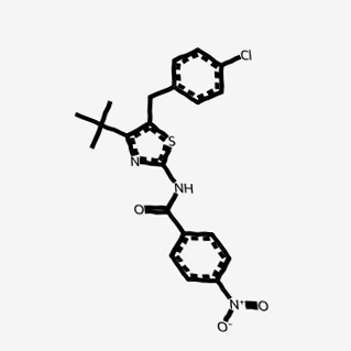 CC(C)(C)c1nc(NC(=O)c2ccc([N+](=O)[O-])cc2)sc1Cc1ccc(Cl)cc1